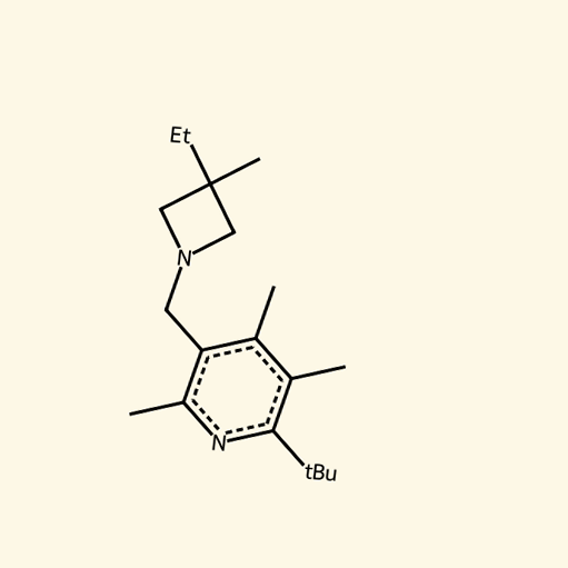 CCC1(C)CN(Cc2c(C)nc(C(C)(C)C)c(C)c2C)C1